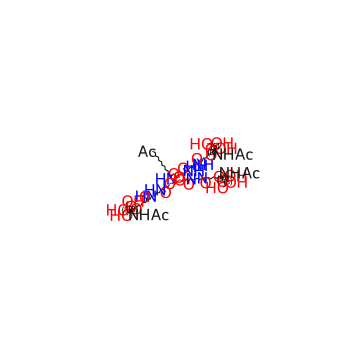 CC(=O)CCCCCCCCCCC(=O)NC(COCCC(=O)NCCCNCC(=O)CCCCO[C@@H]1OC(CO)[C@@H](O)C(O)C1NC(C)=O)(COCCC(=O)NCCCNC(=O)CCCCO[C@@H]1OC(CO)[C@@H](O)C(O)C1NC(C)=O)COCCC(=O)NCCCNC(=O)CCCCO[C@@H]1OC(CO)[C@@H](O)C(O)C1NC(C)=O